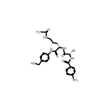 CC(C)[C@H](NC(=O)c1ccc(N)cc1)C(=O)N[C@@H](CCCNC(N)=O)C(=O)Nc1ccc(CO)cc1